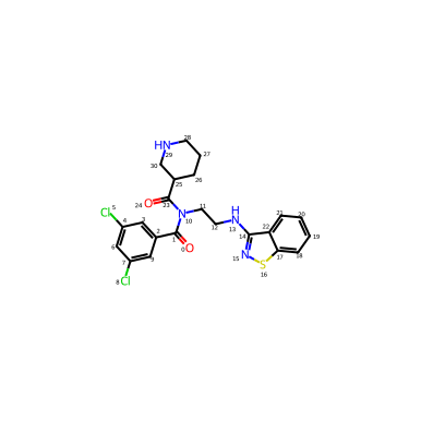 O=C(c1cc(Cl)cc(Cl)c1)N(CCNc1nsc2ccccc12)C(=O)C1CCCNC1